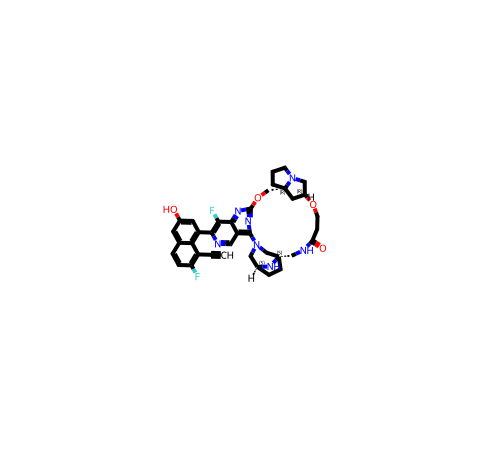 C#Cc1c(F)ccc2cc(O)cc(-c3ncc4c5nc(nc4c3F)OC[C@]34CCCN3C[C@@H](C4)OCCC(=O)NC[C@@]34CC[C@@H](CN5C3)N4)c12